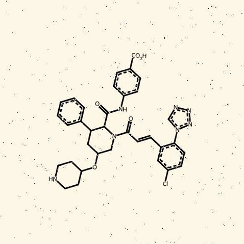 O=C(O)c1ccc(NC(=O)C2C(c3ccccc3)CC(OC3CCNCC3)CN2C(=O)C=Cc2cc(Cl)ccc2-n2cnnn2)cc1